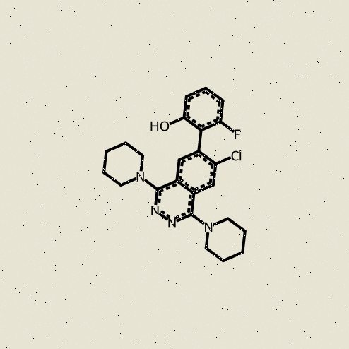 Oc1cccc(F)c1-c1cc2c(N3CCCCC3)nnc(N3CCCCC3)c2cc1Cl